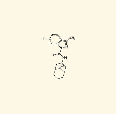 CN1C2CCCC1CC(NC(=O)c1nn(C)c3ccc(F)cc13)C2